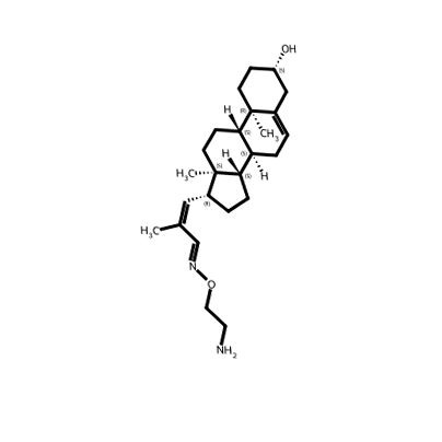 CC(C=NOCCN)=C[C@H]1CC[C@H]2[C@@H]3CC=C4C[C@@H](O)CC[C@]4(C)[C@H]3CC[C@]12C